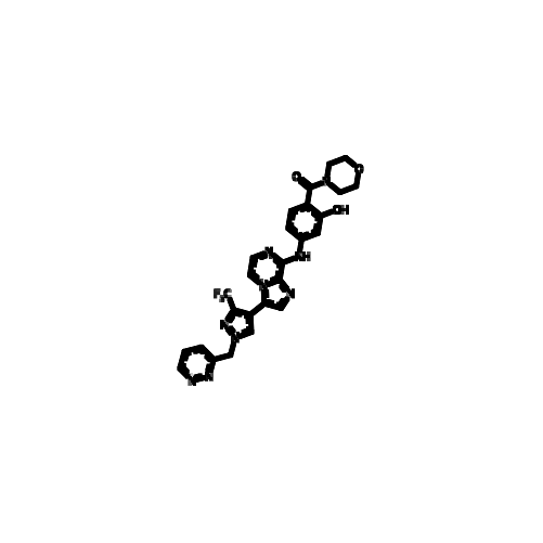 O=C(c1ccc(Nc2nccn3c(-c4cn(Cc5cccnn5)nc4C(F)(F)F)cnc23)cc1O)N1CCOCC1